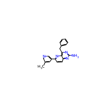 Cc1cncc(-c2ccc3nc(N)nc(Cc4ccccc4)c3n2)c1